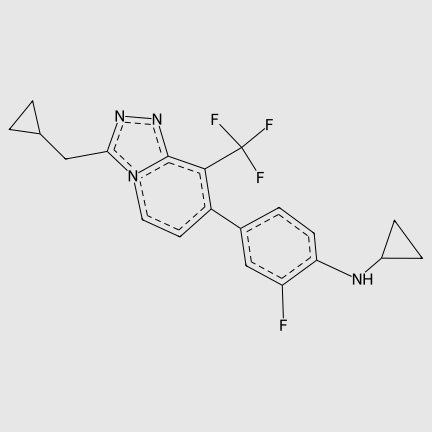 Fc1cc(-c2ccn3c(CC4CC4)nnc3c2C(F)(F)F)ccc1NC1CC1